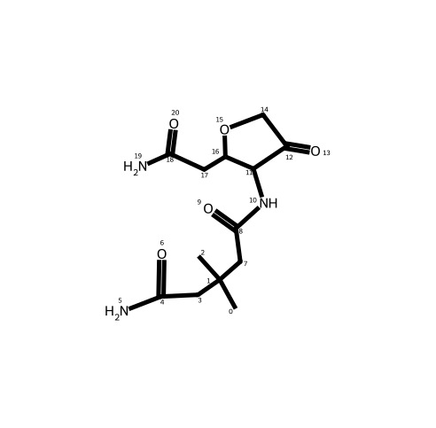 CC(C)(CC(N)=O)CC(=O)NC1C(=O)COC1CC(N)=O